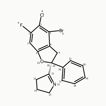 Fc1cc2c(c(Br)c1Cl)C[C@@](C1=NCCC1)(c1ccccc1)O2